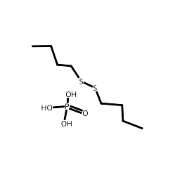 CCCCSSCCCC.O=P(O)(O)O